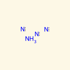 N.[N].[N].[N]